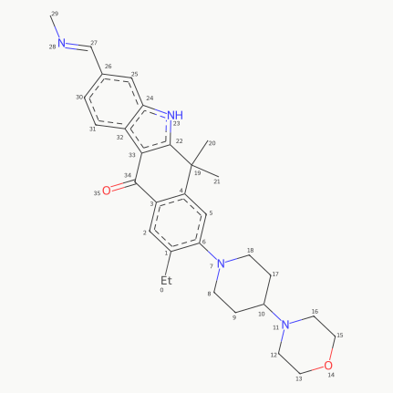 CCc1cc2c(cc1N1CCC(N3CCOCC3)CC1)C(C)(C)c1[nH]c3cc(/C=N/C)ccc3c1C2=O